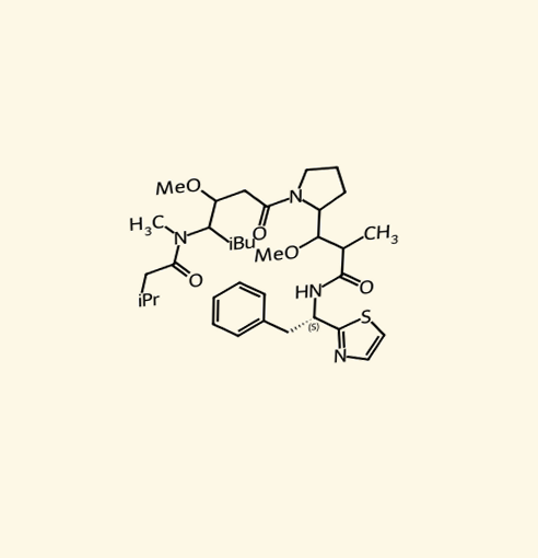 CCC(C)C(C(CC(=O)N1CCCC1C(OC)C(C)C(=O)N[C@@H](Cc1ccccc1)c1nccs1)OC)N(C)C(=O)CC(C)C